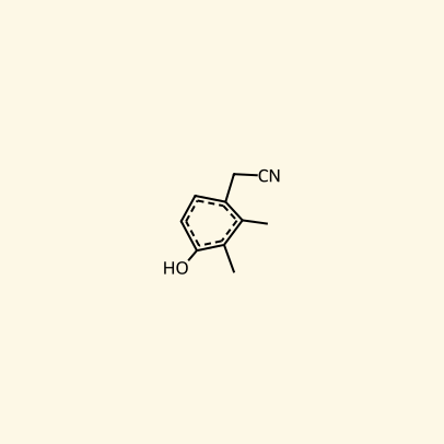 Cc1c(O)ccc(CC#N)c1C